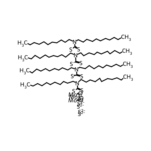 CCCCCCCCCCCN(CCCCCCCCCCC)C(=S)[S-].CCCCCCCCCCCN(CCCCCCCCCCC)C(=S)[S-].CCCCCCCCCCCN(CCCCCCCCCCC)C(=S)[S-].CCCCCCCCCCCN(CCCCCCCCCCC)C(=S)[S-].[O]=[Mo+4].[O]=[Mo+4].[O]=[Mo+4].[S-2].[S-2].[S-2].[S-2]